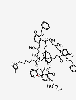 Cc1cn(CCCCCC(=O)NC[C@]23C[C@]4(CCC(=O)c5c(OCc6ccccc6)c(=O)ccn5CC(O)CO)C[C@](CCC(=O)c5c(OCc6ccccc6)c(=O)ccn5CC(O)CO)(C2)C[C@@](CNC(=O)c2c(OCc5ccccc5)c(=O)ccn2CC(O)CO)(C4)C3)nn1